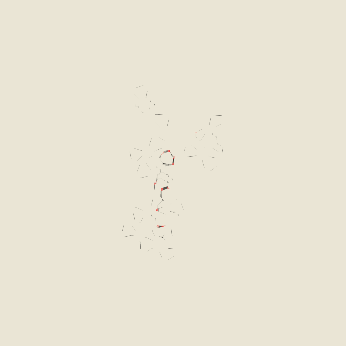 c1cc(-c2ccc3c(c2)-c2ccccc2C32c3ccccc3-n3c4ccccc4c4cccc2c43)cc(-c2ccc(-c3ccc4c(c3)c3cccc5c3n4-c3ccccc3C53c4ccccc4-c4ccc(-c5ccccc5-c5ccc(-c6ccc(-c7ccc8c(c7)c7cccc9c7n8-c7ccccc7C97c8ccccc8-c8cc(-c9cccc(-c%10cnc%11ccccc%11n%10)c9)ccc87)c7cccnc67)cc5)cc43)cn2)c1